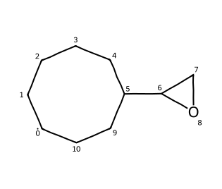 [CH]1CCCCC(C2CO2)CC1